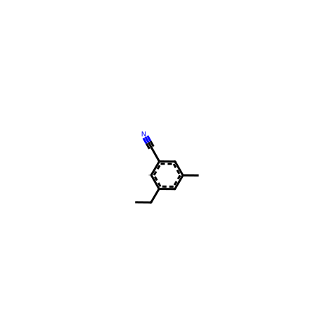 CCc1[c]c(C#N)cc(C)c1